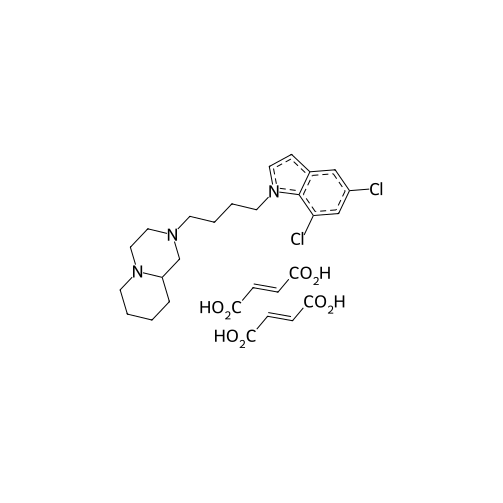 Clc1cc(Cl)c2c(ccn2CCCCN2CCN3CCCCC3C2)c1.O=C(O)/C=C/C(=O)O.O=C(O)/C=C/C(=O)O